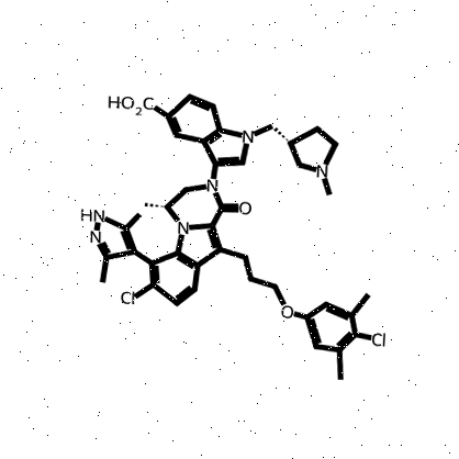 Cc1cc(OCCCc2c3n(c4c(-c5c(C)n[nH]c5C)c(Cl)ccc24)[C@H](C)CN(c2cn(C[C@@H]4CCN(C)C4)c4ccc(C(=O)O)cc24)C3=O)cc(C)c1Cl